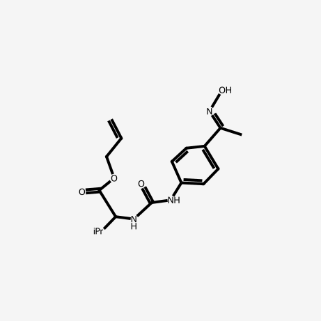 C=CCOC(=O)C(NC(=O)Nc1ccc(C(C)=NO)cc1)C(C)C